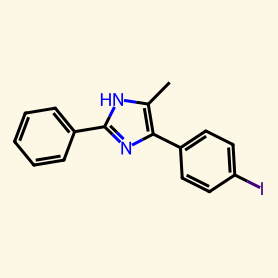 Cc1[nH]c(-c2ccccc2)nc1-c1ccc(I)cc1